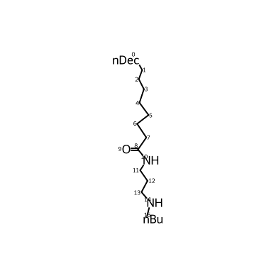 CCCCCCCCCCCCCCCCCC(=O)NCCCNCCCC